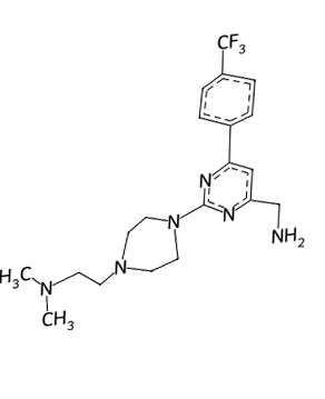 CN(C)CCN1CCN(c2nc(CN)cc(-c3ccc(C(F)(F)F)cc3)n2)CC1